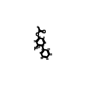 CC(=O)Oc1ccc(-c2ccccc2)c(F)c1